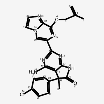 C=C(C)COc1nc(-c2nc(N)c3c(n2)NC(=O)C3(C)c2ccc(Cl)cc2)cn2ccnc12